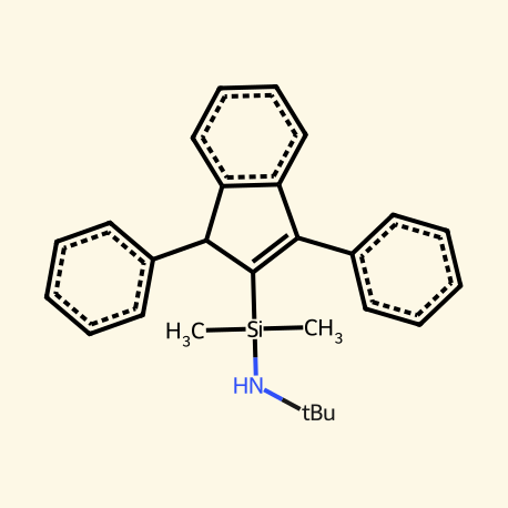 CC(C)(C)N[Si](C)(C)C1=C(c2ccccc2)c2ccccc2C1c1ccccc1